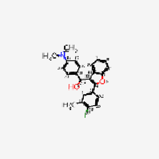 Cc1cc(-c2oc3ccccc3c2C(O)c2ccc(N(C)C)cc2)ccc1F